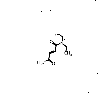 CCN(CC)C(=O)C=CC(C)=O